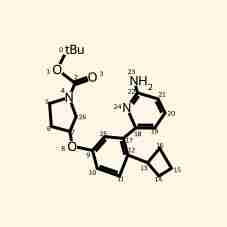 CC(C)(C)OC(=O)N1CCC(Oc2ccc(C3CCC3)c(-c3cccc(N)n3)c2)C1